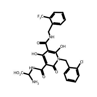 NC(NC(=O)c1c(O)c(C(=O)NCc2ccccc2C(F)(F)F)c(O)n(Cc2ccccc2Cl)c1=O)C(=O)O